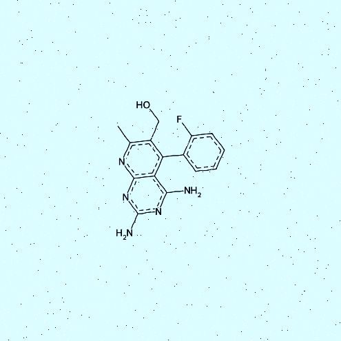 Cc1nc2nc(N)nc(N)c2c(-c2ccccc2F)c1CO